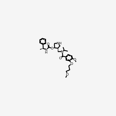 COCCCOc1cc(C(=O)N(C[C@@H]2CNC[C@H]2OC(=O)N[C@@H](C)c2ccccc2)C(C)C)ccc1OC